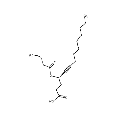 CCCCCCCCC#C[C@@H](CCC(=O)O)OC(=O)CCC